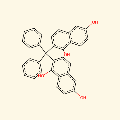 Oc1ccc2c(O)c(C3(c4ccc5cc(O)ccc5c4O)c4ccccc4-c4ccccc43)ccc2c1